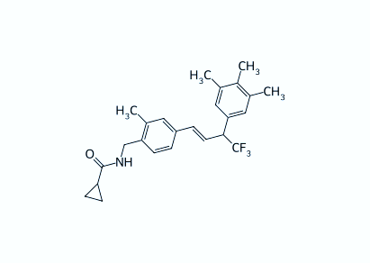 Cc1cc(/C=C/C(c2cc(C)c(C)c(C)c2)C(F)(F)F)ccc1CNC(=O)C1CC1